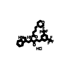 Cl.O=C(CCCN1CCOCC1)NC(Cc1c[nH]c2ccccc12)C(=O)CCc1cc(C(F)(F)F)cc(C(F)(F)F)c1